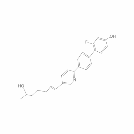 CC(O)CCCC=Cc1ccc(-c2ccc(-c3ccc(O)cc3F)cc2)nc1